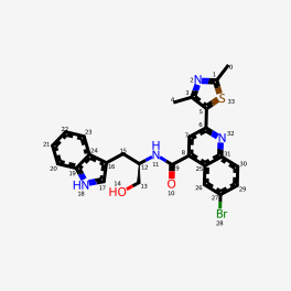 Cc1nc(C)c(-c2cc(C(=O)N[C@@H](CO)Cc3c[nH]c4ccccc34)c3cc(Br)ccc3n2)s1